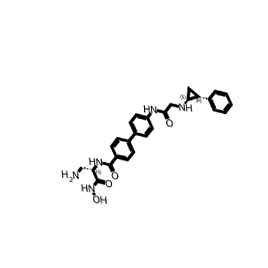 NC[C@H](NC(=O)c1ccc(-c2ccc(NC(=O)CN[C@H]3C[C@@H]3c3ccccc3)cc2)cc1)C(=O)NO